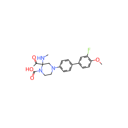 CNC1(C(C)=O)CN(c2ccc(-c3ccc(OC)c(F)c3)cc2)CCN1C(=O)O